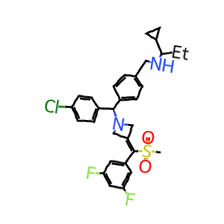 CCC(NCc1ccc([C@H](c2ccc(Cl)cc2)N2CC(=C(c3cc(F)cc(F)c3)S(C)(=O)=O)C2)cc1)C1CC1